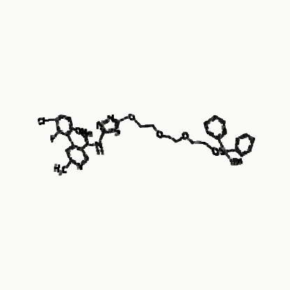 COc1ccc(Cl)c(F)c1-c1cc(C)ncc1C(=O)Nc1nnc(OCCOCCOCCO[Si](c2ccccc2)(c2ccccc2)C(C)(C)C)s1